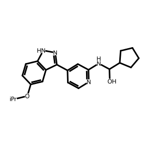 CC(C)Oc1ccc2[nH]nc(-c3ccnc(NC(O)C4CCCC4)c3)c2c1